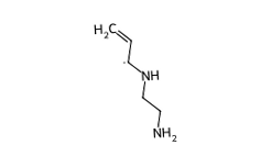 C=C[CH]NCCN